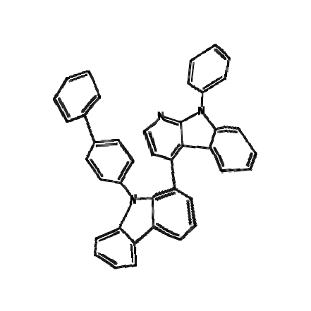 c1ccc(-c2ccc(-n3c4ccccc4c4cccc(-c5ccnc6c5c5ccccc5n6-c5ccccc5)c43)cc2)cc1